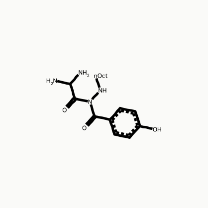 CCCCCCCCNN(C(=O)c1ccc(O)cc1)C(=O)C(N)N